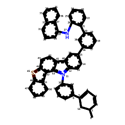 CC1C=CC=C(c2cccc(-n3c4ccc(-c5cccc(-c6ccccc6Nc6cccc7ccccc67)c5)cc4c4ccc5sc6ccccc6c5c43)c2)C1